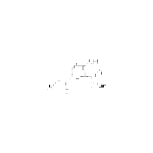 COC(=O)c1cc(C(=O)CBr)ccc1C#N